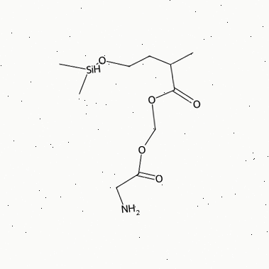 CC(CCO[SiH](C)C)C(=O)OCOC(=O)CN